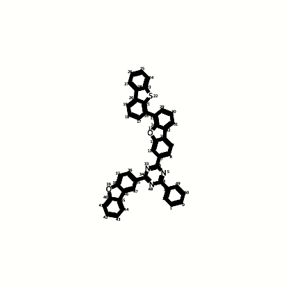 c1ccc(-c2nc(-c3ccc4c(c3)oc3c(-c5cccc6c5sc5ccccc56)cccc34)nc(-c3ccc4oc5ccccc5c4c3)n2)cc1